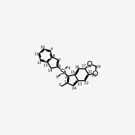 CC1=C([Si](C)(C)C2=Cc3ccccc3C2)C2=CC3OCOC3=CC2=C1